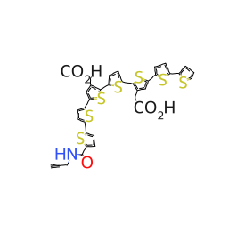 C#CCNC(=O)c1ccc(-c2ccc(-c3cc(CC(=O)O)c(-c4ccc(-c5sc(-c6ccc(-c7cccs7)s6)cc5CC(=O)O)s4)s3)s2)s1